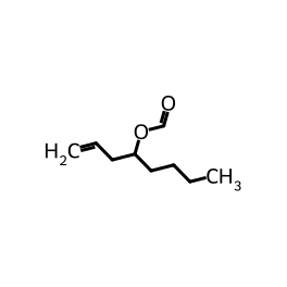 C=CCC(CCCC)OC=O